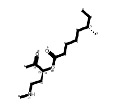 CC[C@H](C)CCCCC(=O)O[C@@H](CCNC)C(C)=O